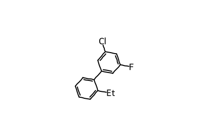 CCc1ccccc1-c1cc(F)cc(Cl)c1